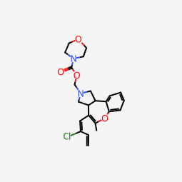 C=C/C(Cl)=C\C1=C(C)Oc2ccccc2C2CN(COC(=O)N3CCOCC3)CC12